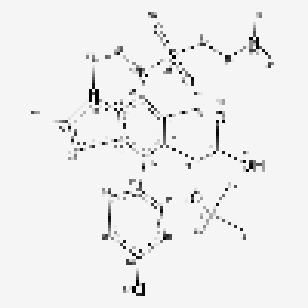 Cc1c(C(OC(C)(C)C)C(=O)O)c(-c2ccc(Cl)cc2)c2cc(C)n3c2c1N(S(=O)(=O)CCN(C)C)CC3